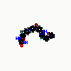 O=C1CCC(Nc2ccc(C3CCN(CC4(F)CCN(C(=O)[C@H]5CC[C@H](Nc6ncc(F)c(-c7cccc(-n8ccccc8=O)c7)n6)CC5)CC4)CC3)c(F)c2)C(=O)N1